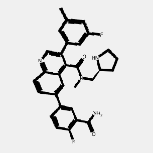 Cc1cc(F)cc(-c2cnc3ccc(-c4ccc(F)c(C(N)=O)c4)cc3c2C(=O)N(C)C[C@@H]2CCCN2)c1